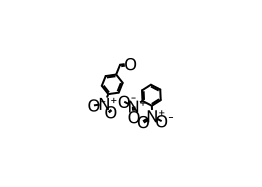 O=Cc1ccc([N+](=O)[O-])cc1.O=[N+]([O-])c1ccccc1[N+](=O)[O-]